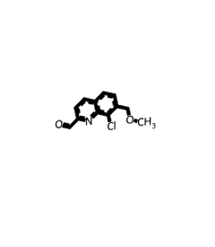 COCc1ccc2ccc(C=O)nc2c1Cl